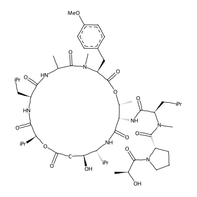 COc1ccc(C[C@H]2C(=O)O[C@H](C)[C@H](NC(=O)[C@@H](CC(C)C)N(C)C(=O)[C@@H]3CCCN3C(=O)[C@H](C)O)C(=O)N[C@H](C(C)C)[C@@H](O)CC(=O)O[C@@H](C(C)C)C(=O)N[C@@H](CC(C)C)C(=O)NC(C)C(=O)N2C)cc1